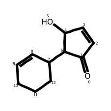 O=C1C=CC(O)C1C1C=CCCC1